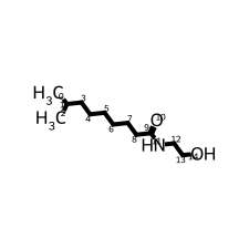 CC(C)CCCCCCC(=O)NCCO